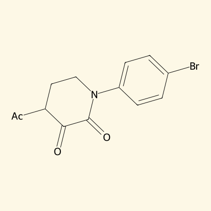 CC(=O)C1CCN(c2ccc(Br)cc2)C(=O)C1=O